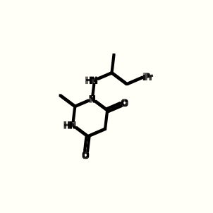 CC(C)CC(C)NN1C(=O)CC(=O)NC1C